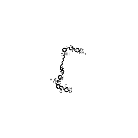 CCC1(N)CCN(c2cnc(Sc3cccc(NC(=O)CCCCCCN4CC5(CCN(c6ccc(C(=O)N(C)Cc7ccc8c(c7)CN(C7CCC(=O)NC7=O)C8=O)nn6)C5)C4)c3)cn2)CC1